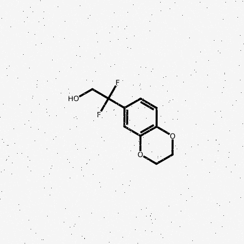 OCC(F)(F)c1ccc2c(c1)OCCO2